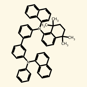 CC1(C)CCC(C)(C)c2c(N(c3cccc(-c4cccc(N(c5ccccc5)c5cccc6ccccc56)c4)c3)c3cccc4ccccc34)cccc21